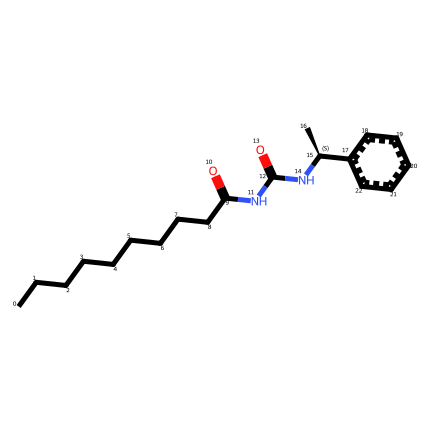 CCCCCCCCCC(=O)NC(=O)N[C@@H](C)c1ccccc1